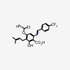 CCCC(CC)Oc1cc(/C=C/c2ccc(C(F)(F)F)cc2)c(C(=O)O)c(O)c1CC=C(C)C